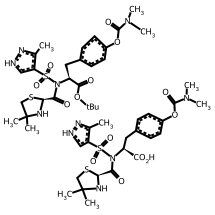 Cc1n[nH]cc1S(=O)(=O)N(C(=O)[C@H]1NC(C)(C)CS1)[C@@H](Cc1ccc(OC(=O)N(C)C)cc1)C(=O)O.Cc1n[nH]cc1S(=O)(=O)N(C(=O)[C@H]1NC(C)(C)CS1)[C@@H](Cc1ccc(OC(=O)N(C)C)cc1)C(=O)OC(C)(C)C